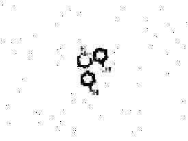 C1C[CH2][AlH][O]C1.Oc1ccccc1.Oc1ccccc1